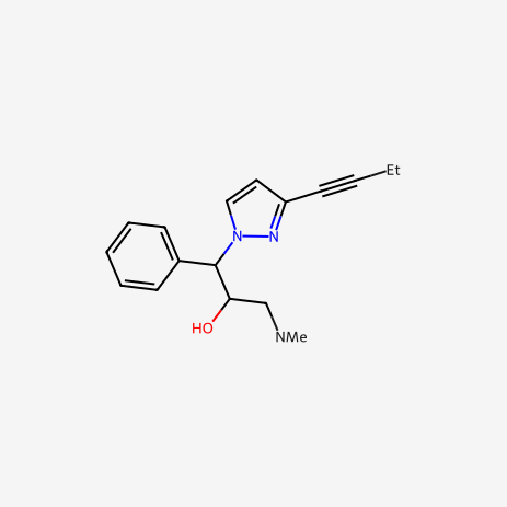 CCC#Cc1ccn(C(c2ccccc2)C(O)CNC)n1